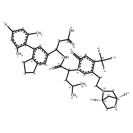 Cc1cc(F)cc(C)c1-c1cc(C(CC(=O)O)NC(=O)C(CC(C)C)n2cc(CCN3C[C@@H]4C[C@H]3CO4)c(C(F)(F)F)cc2=O)cc2c1CCC2